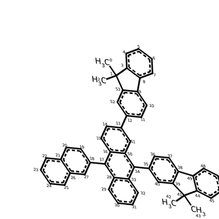 CC1(C)c2ccccc2-c2ccc(-c3ccc4c(-c5ccc6ccccc6c5)c5ccccc5c(-c5ccc6c(c5)C(C)(C)c5ccccc5-6)c4c3)cc21